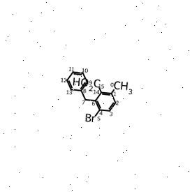 Cc1ccc(Br)c(Cc2ccccc2)c1C(=O)O